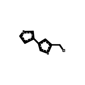 ClCc1cc(-c2ccsc2)cs1